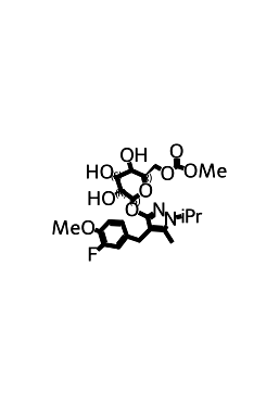 COC(=O)OC[C@H]1O[C@@H](Oc2nn(C(C)C)c(C)c2Cc2ccc(OC)c(F)c2)[C@H](O)[C@@H](O)C1O